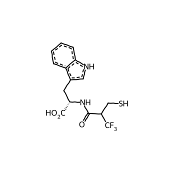 O=C(N[C@@H](Cc1c[nH]c2ccccc12)C(=O)O)C(CS)C(F)(F)F